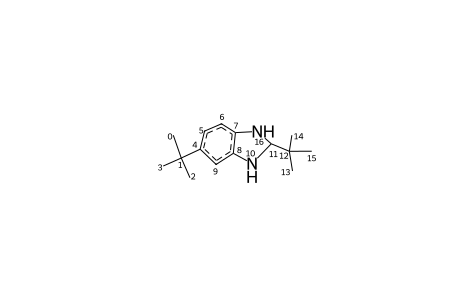 CC(C)(C)c1ccc2c(c1)NC(C(C)(C)C)N2